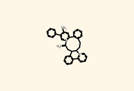 C=C1CC2c3ccccc3-c3cccc[n+]3C2CCc2ccccc2-c2cc(C)c(-c3ccccc3)c[n+]21